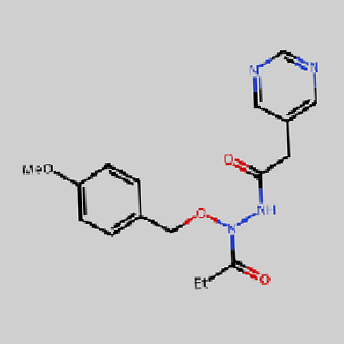 CCC(=O)N(NC(=O)Cc1cncnc1)OCc1ccc(OC)cc1